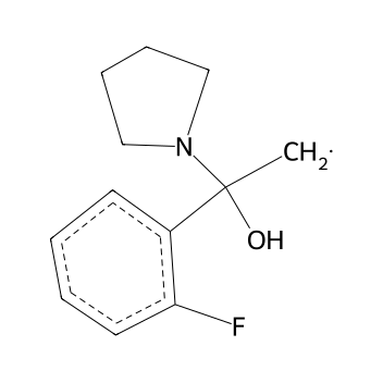 [CH2]C(O)(c1ccccc1F)N1CCCC1